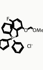 COCOc1ccc(F)cc1C[P+](c1ccccc1)(c1ccccc1)c1ccccc1.[Cl-]